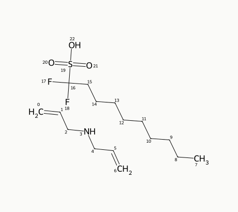 C=CCNCC=C.CCCCCCCCCC(F)(F)S(=O)(=O)O